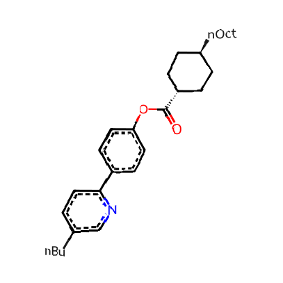 CCCCCCCC[C@H]1CC[C@H](C(=O)Oc2ccc(-c3ccc(CCCC)cn3)cc2)CC1